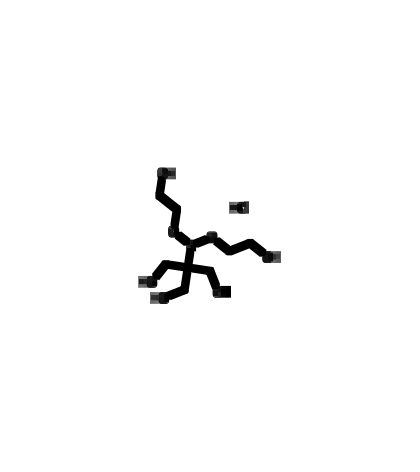 Cl.OCCON(OCCO)C(CO)(CO)CO